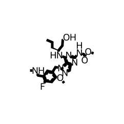 CCC[C@@H](CCO)Nc1nc(NC(=O)OC)nc2cnn(Cc3cc(CNC)c(F)cc3OC)c12